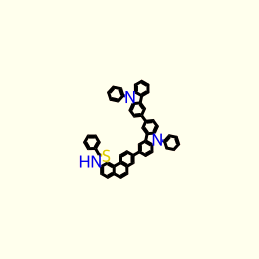 C1=CCCC(n2c3ccc(-c4ccc5c(ccc6ccc7c(c65)SC(c5ccccc5)N7)c4)cc3c3cc(-c4ccc5c(c4)c4ccccc4n5-c4ccccc4)ccc32)=C1